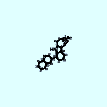 CC(=O)N1C2CCC1c1c([nH]c3c(-c4cnc5ccccc5c4)cccc13)C2